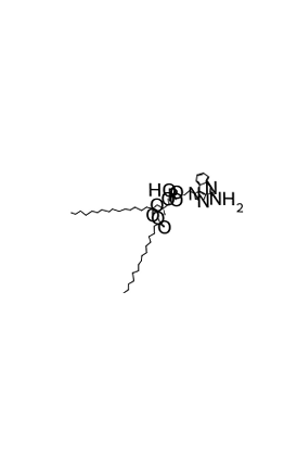 CCCCCCCCCCCCCCCC(=O)OC[C@H](COP(=O)(O)OCCn1cnc2c(N)nc3ccccc3c21)OC(=O)CCCCCCCCCCCCCCC